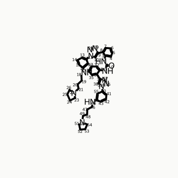 O=C(Nc1ccccc1-c1cn(-c2cccc(NCCCCN3CCCC3)c2)nn1)Nc1ccccc1-c1cn(-c2cccc(NCCCCN3CCCC3)c2)nn1